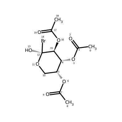 CC(=O)O[C@@H]1[C@H](OC(C)=O)CO[C@@](O)(Br)[C@H]1OC(C)=O